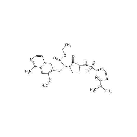 CCOC(=O)[C@@H](Cc1cc2ccnc(N)c2cc1OC)N1CC[C@H](NS(=O)(=O)c2cccc(N(C)C)n2)C1=O